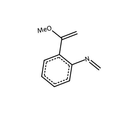 C=Nc1ccccc1C(=C)OC